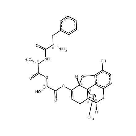 C[C@H](NC(=O)[C@@H](N)Cc1ccccc1)C(=O)O[C@@H](O)C(=O)OC1=CC[C@@]2(O)[C@H]3Cc4ccc(O)c5c4[C@@]2(CCN3C)[C@H]1O5